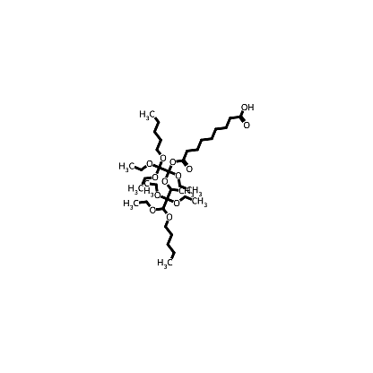 CCCCCOC(OCC)C(OCC)(OCC)C(C)OC(OCC)(OC(=O)CCCCCCCC(=O)O)C(OCC)(OCC)OCCCCC